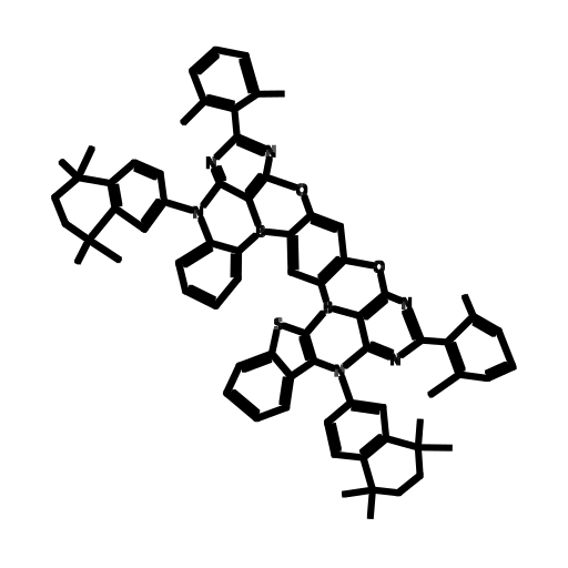 Cc1cccc(C)c1-c1nc2c3c(n1)N(c1ccc4c(c1)C(C)(C)CCC4(C)C)c1ccccc1B3c1cc3c(cc1O2)Oc1nc(-c2c(C)cccc2C)nc2c1B3c1sc3ccccc3c1N2c1ccc2c(c1)C(C)(C)CCC2(C)C